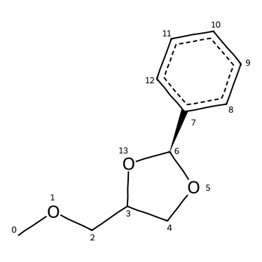 COCC1CO[C@H](c2ccccc2)O1